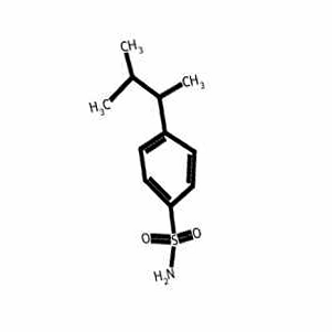 CC(C)C(C)c1ccc(S(N)(=O)=O)cc1